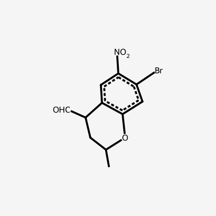 CC1CC(C=O)c2cc([N+](=O)[O-])c(Br)cc2O1